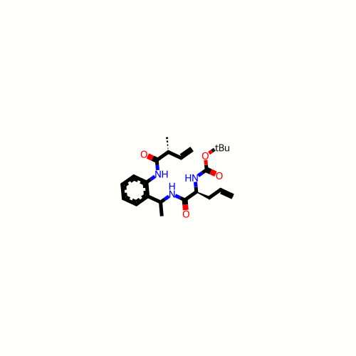 C=CC[C@H](NC(=O)OC(C)(C)C)C(=O)NC(C)c1ccccc1NC(=O)[C@H](C)C=C